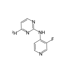 [2H]c1ccnc(Nc2ccncc2F)n1